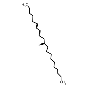 CCCCCC=CC=CCC(=O)CCCCCCCCCC